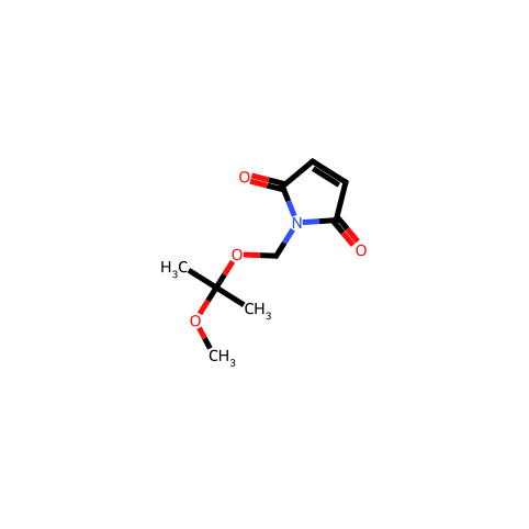 COC(C)(C)OCN1C(=O)C=CC1=O